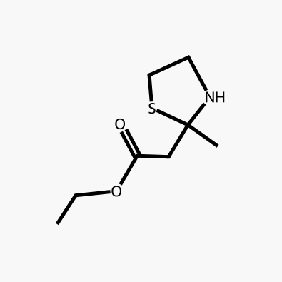 CCOC(=O)CC1(C)NCCS1